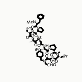 CCN(CC(=O)N[C@@H](CC(C)C)C(=O)N1CCC[C@@H]1C(=O)N(C)[C@@H](CC(C)C)C(=O)N[C@@H](C)C(=O)N(CC=O)CC1CCCCC1)C(=O)[C@H](C)NC(=O)[C@H](CC(C)C)N(C)C(=O)[C@H]1CCCN1C(=O)[C@H](Cc1ccccc1)NC